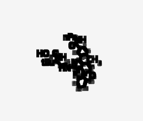 CCCNC(=O)c1ccc(C)c(-c2nc(NCCC(NC(=O)O)C(C)(C)C)nc3c2ccc(=O)n3-c2c(F)cccc2F)c1